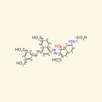 O=C(O)CNc1ccc2cc(S(=O)(=O)O)c(N=Nc3ccc(N=Nc4cc(C(=O)O)cc(C(=O)O)c4)c4cc(S(=O)(=O)O)ccc34)c(O)c2c1